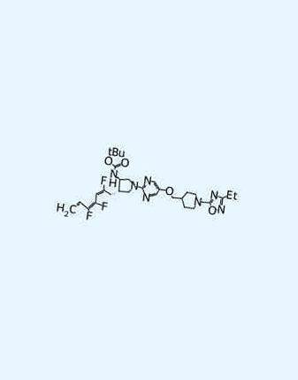 C=C/C(F)=C(F)\C=C(\F)C[C@H]1CN(c2ncc(OCC3CCN(c4nc(CC)no4)CC3)cn2)C[C@@H]1NC(=O)OC(C)(C)C